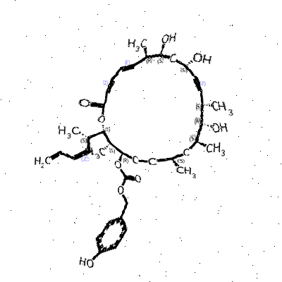 C=C/C=C\[C@H](C)[C@@H]1OC(=O)/C=C\C=C\[C@@H](C)[C@@H](O)C[C@H](O)/C=C\[C@H](C)[C@H](O)[C@@H](C)C[C@@H](C)CC[C@@H](OC(=O)OCc2ccc(O)cc2)[C@@H]1C